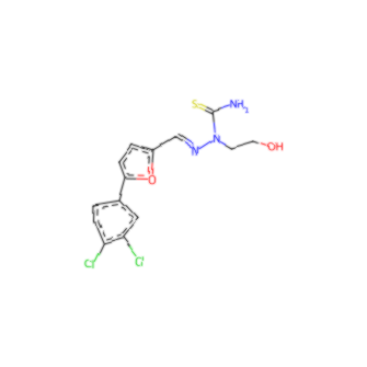 NC(=S)N(CCO)N=Cc1ccc(-c2ccc(Cl)c(Cl)c2)o1